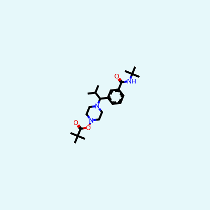 CC(C)C(c1cccc(C(=O)NC(C)(C)C)c1)N1CCN(OC(=O)C(C)(C)C)CC1